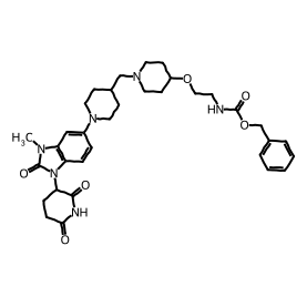 Cn1c(=O)n(C2CCC(=O)NC2=O)c2ccc(N3CCC(CN4CCC(OCCNC(=O)OCc5ccccc5)CC4)CC3)cc21